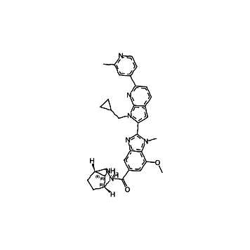 COc1cc(C(=O)N2C[C@H]3CC[C@@H]2[C@@H]3N)cc2nc(-c3cc4ccc(-c5ccnc(C)c5)nc4n3CC3CC3)n(C)c12